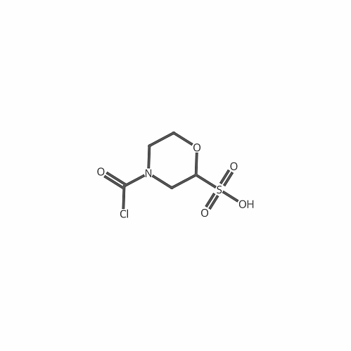 O=C(Cl)N1CCOC(S(=O)(=O)O)C1